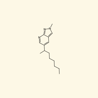 CCCCCCC(C)c1cnc2nn(C)cc2c1